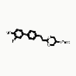 CCCCCC1COC(CCc2ccc(-c3ccc(C#N)c(F)c3)cc2)OC1